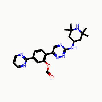 CC1(C)CC(Nc2ncc(-c3ccc(-c4ncccn4)cc3OC=O)nn2)CC(C)(C)N1